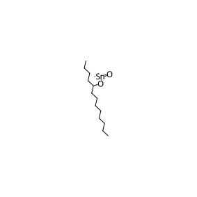 CCCCCCCCC(CCCC)[O][Sn]=[O]